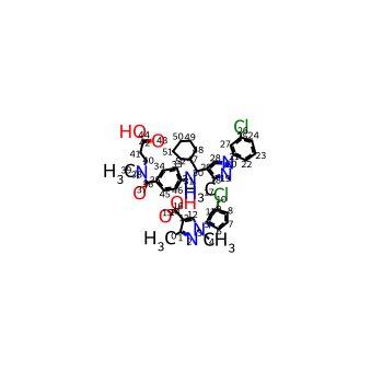 CC1=N[N+](C)(c2cccc(Cl)c2)C=C1C(=O)O.Cc1nn(-c2cccc(Cl)c2)cc1C(Nc1ccc(C(=O)N(C)CCC(=O)O)cc1)C1CCCCC1